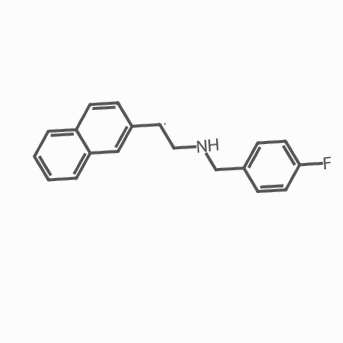 Fc1ccc(CNC[CH]c2ccc3ccccc3c2)cc1